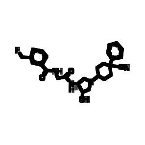 N#CC1(c2ccccc2)CCC(N2CC(O)[C@@H](NC(=O)CNC(=O)c3cccc(CF)c3)C2)CC1